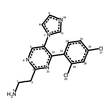 NCCc1ncc(-n2ccnc2)c(-c2ccc(Cl)cc2Cl)n1